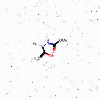 C=C(O)[C@@H](NC(=O)OC)[C@@H](C)CC